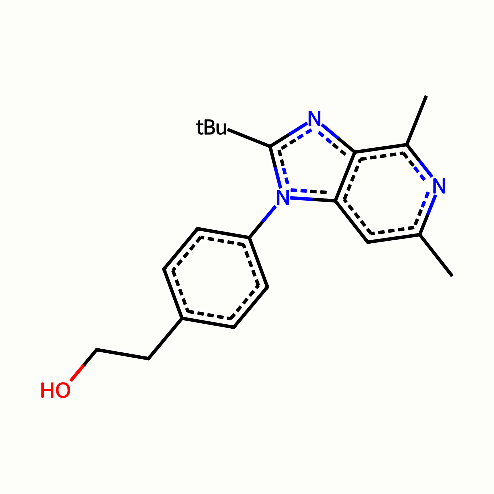 Cc1cc2c(nc(C(C)(C)C)n2-c2ccc(CCO)cc2)c(C)n1